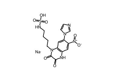 O=c1[nH]c2cc([N+](=O)[O-])c(-n3ccnc3)cc2n(CCCCNS(=O)(=O)O)c1=O.[Na]